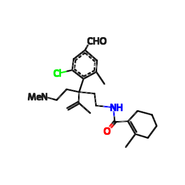 C=C(C)C(CCNC)(CCNC(=O)C1=C(C)CCCC1)c1c(C)cc(C=O)cc1Cl